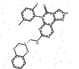 Cc1ccc(F)c(-n2c(=O)c3c[nH]nc3c3cnc(NC[C@H]4COc5ccccc5O4)nc32)c1